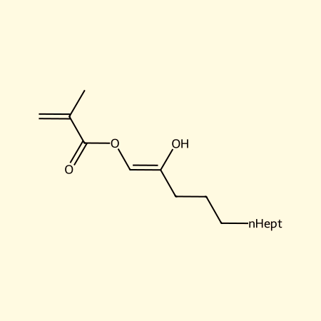 C=C(C)C(=O)OC=C(O)CCCCCCCCCC